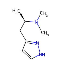 C[C@H](Cc1[c]c[nH]n1)N(C)C